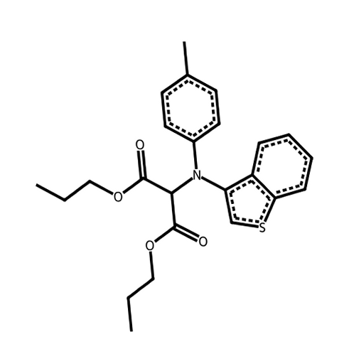 CCCOC(=O)C(C(=O)OCCC)N(c1ccc(C)cc1)c1csc2ccccc12